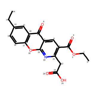 CCOC(=O)c1cc2c(=O)c3cc(CC)ccc3oc2nc1CC(=O)O